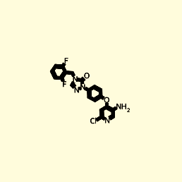 Nc1cnc(Cl)cc1Oc1ccc(-n2ncn(Cc3c(F)cccc3F)c2=O)cc1